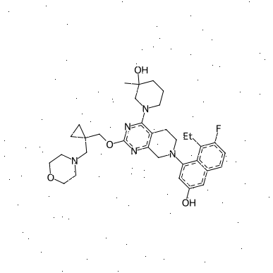 CCc1c(F)ccc2cc(O)cc(N3CCc4c(nc(OCC5(CN6CCOCC6)CC5)nc4N4CCCC(C)(O)C4)C3)c12